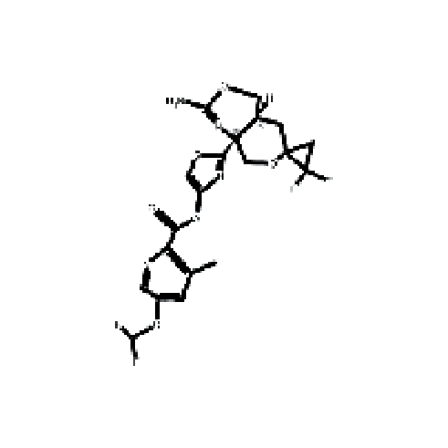 Cc1cc(OC(F)F)cnc1C(=O)Nc1csc([C@]23COC4(C[C@H]2COC(N)=N3)CC4(F)F)n1